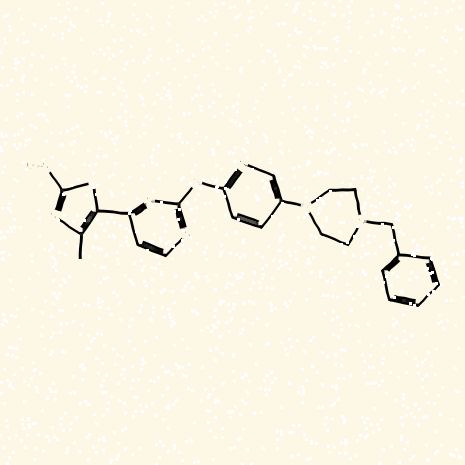 CNc1nc(C)c(-c2ccnc(Nc3ccc(N4CCN(Cc5ccccc5)CC4)cn3)n2)s1